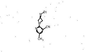 CCN=C1CN(c2ncc(C)cc2C#N)C1